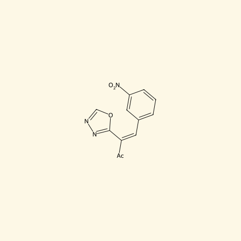 CC(=O)C(=Cc1cccc([N+](=O)[O-])c1)c1nnco1